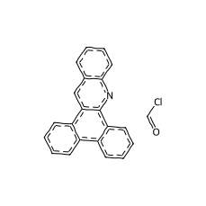 O=CCl.c1ccc2nc3c4ccccc4c4ccccc4c3cc2c1